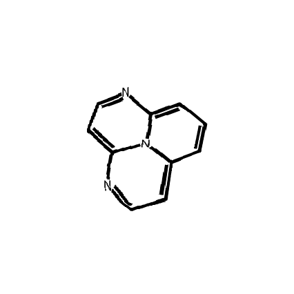 C1=CC2=CC=NC3=CC=NC(=C1)N23